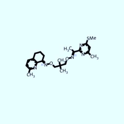 CSc1cc(C)nc(/C(C)=N/OCC(C)(C)CO/N=C2\CCCc3ccc(C)nc32)n1